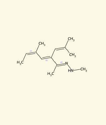 C\C=C(C)/C=C(C=C(C)C)/C(C)=N/NC